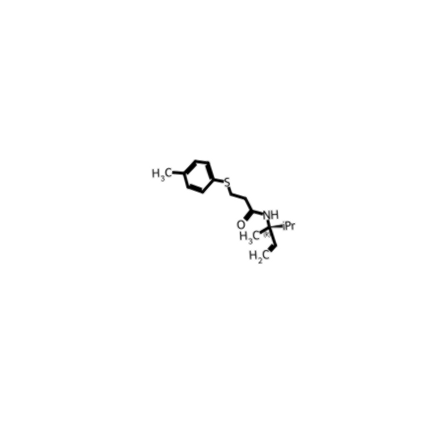 C=C[C@](C)(NC(=O)CCSc1ccc(C)cc1)C(C)C